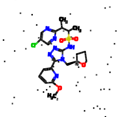 COc1cccc(-c2nnc(NS(=O)(=O)C(C)C(C)c3ncc(Cl)cn3)n2C[C@H]2CCCO2)n1